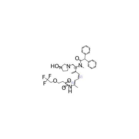 C=C(/C=C\C=C(/C)NS(=O)(=O)CCOCC(F)(F)F)[C@@H](CN1CC[C@@H](O)C1)N(C)C(=O)C(c1ccccc1)c1ccccc1